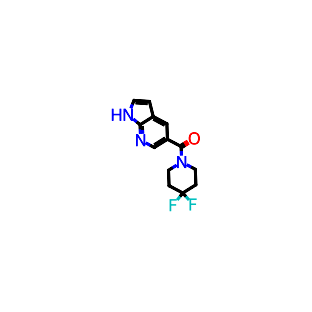 O=C(c1cnc2[nH]ccc2c1)N1CCC(F)(F)CC1